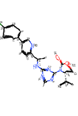 CC(Nc1ncnc(N2C(=O)OC[C@@H]2C(C)C)n1)c1ccc(-c2ccc(Cl)cc2)cn1